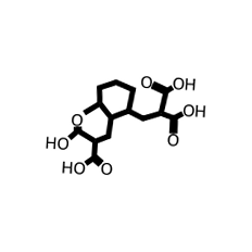 CC1CCCC(CC(C(=O)O)C(=O)O)C1CC(C(=O)O)C(=O)O